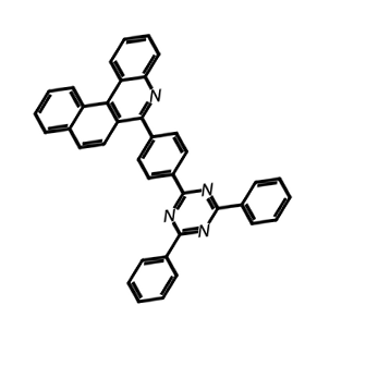 c1ccc(-c2nc(-c3ccccc3)nc(-c3ccc(-c4nc5ccccc5c5c4ccc4ccccc45)cc3)n2)cc1